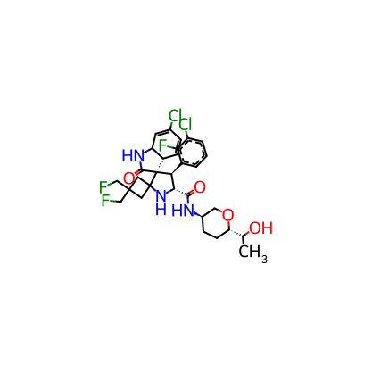 CC(O)[C@@H]1CC[C@@H](NC(=O)[C@@H]2NC3(CC(CF)(CF)C3)[C@@]3(C(=O)NC4C=C(Cl)C=CC43)[C@H]2c2cccc(Cl)c2F)CO1